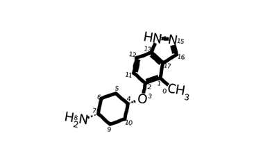 Cc1c(O[C@H]2CC[C@@H](N)CC2)ccc2[nH]ncc12